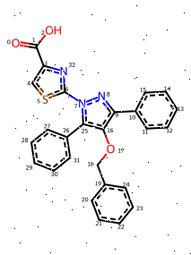 O=C(O)c1csc(-n2nc(-c3ccccc3)c(OCc3ccccc3)c2-c2ccccc2)n1